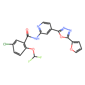 O=C(Nc1cc(-c2nnc(-c3ccco3)o2)ccn1)c1cc(Cl)ccc1OC(F)F